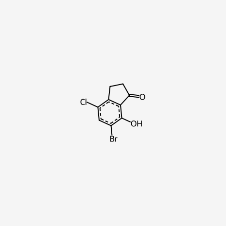 O=C1CCc2c(Cl)cc(Br)c(O)c21